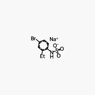 CCc1cc(Br)ccc1NS(=O)(=O)[O-].[Na+]